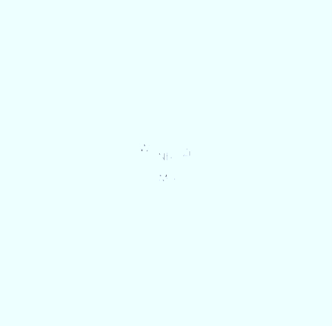 [Nb].[W].[Zr][Mo]